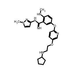 CNc1ccc(Oc2ccc(OCCNC3CCCC3)cn2)cc1C(=N)Nc1ccn(C)n1